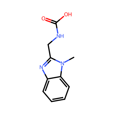 Cn1c(CNC(=O)O)nc2ccccc21